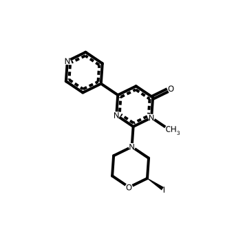 Cn1c(N2CCO[C@H](I)C2)nc(-c2ccncc2)cc1=O